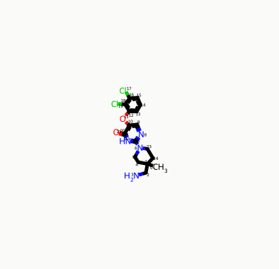 CC1(CN)CCN(c2ncc(Oc3cccc(Cl)c3Cl)c(=O)[nH]2)CC1